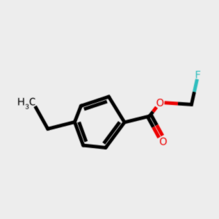 CCc1ccc(C(=O)OCF)cc1